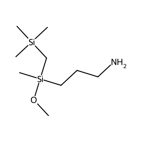 CO[Si](C)(CCCN)C[Si](C)(C)C